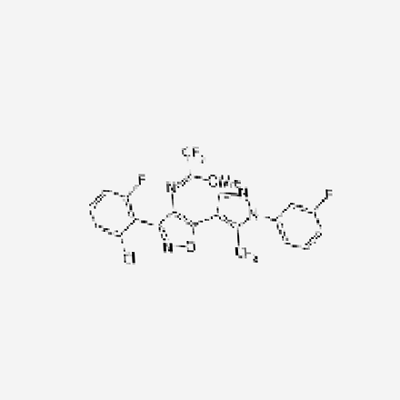 COC(=Nc1c(-c2c(F)cccc2Cl)noc1-c1cnn(-c2cccc(F)c2)c1C(F)(F)F)C(F)(F)F